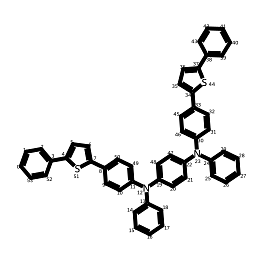 c1ccc(-c2ccc(-c3ccc(N(c4ccccc4)c4ccc(N(c5ccccc5)c5ccc(-c6ccc(-c7ccccc7)s6)cc5)cc4)cc3)s2)cc1